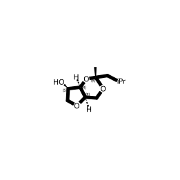 CC(C)C[C@]1(C)OC[C@H]2OC[C@H](O)[C@H]2O1